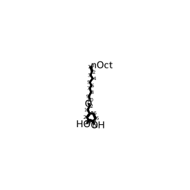 CCCCCCCCC=CCCCCCCCCOCCc1ccc(O)c(O)c1